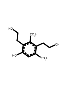 O=C(O)c1cc(O)c(CCO)c(C(=O)O)c1CCO